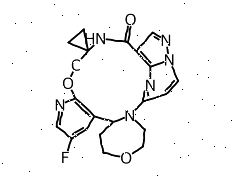 O=C1NC2(CC2)COc2ncc(F)cc2C2CCOCCN2c2ccn3ncc1c3n2